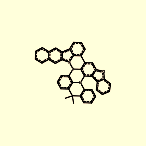 CC1(C)c2ccccc2N2c3c(cccc31)B1c3c(cc4oc5ccccc5c4c32)-c2cccc3c4cc5ccccc5cc4n1c23